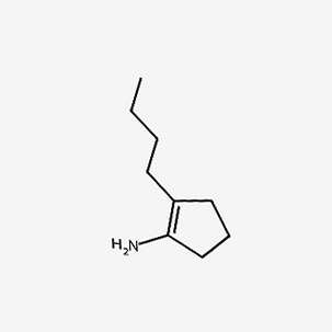 CCCCC1=C(N)CCC1